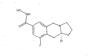 O=C(NO)c1cc(F)c2c(c1)CN1CCC[C@H]1C2